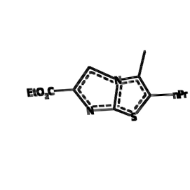 CCCc1sc2nc(C(=O)OCC)cn2c1C